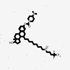 CN(C)C1CCN(C(=O)Oc2ccc3c(c2)CC(CCCCCCCCC[S+]([O-])CCCC(F)(F)C(F)(F)F)C2C3CCC3(C)C(O)CCC23)CC1